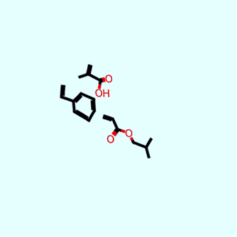 C=C(C)C(=O)O.C=CC(=O)OCC(C)C.C=Cc1ccccc1